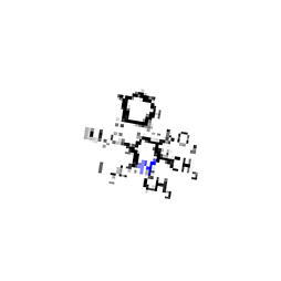 CC1=C(C(=O)O)[C@H](c2ccccc2)C([N+](=O)[O-])=C(C)N1C